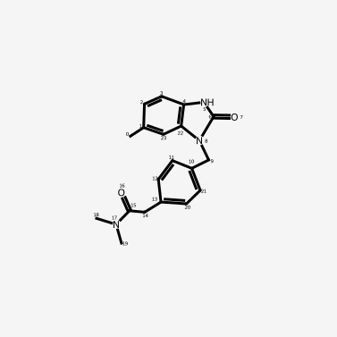 Cc1ccc2[nH]c(=O)n(Cc3ccc(CC(=O)N(C)C)cc3)c2c1